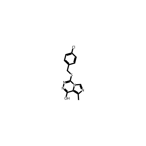 Cc1ncn2c(SCc3ccc(Cl)cc3)nnc(O)c12